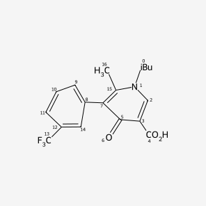 CCC(C)n1cc(C(=O)O)c(=O)c(-c2cccc(C(F)(F)F)c2)c1C